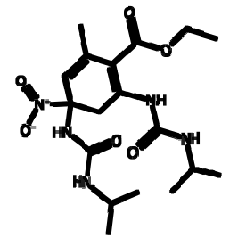 CCOC(=O)C1=C(NC(=O)NC(C)C)CC(NC(=O)NC(C)C)([N+](=O)[O-])C=C1C